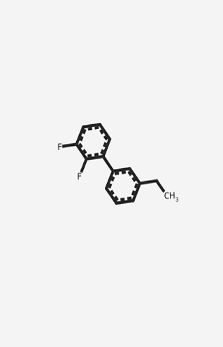 CCc1cccc(-c2cccc(F)c2F)c1